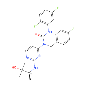 C[C@H](Nc1nccc(N(Cc2ccc(F)cc2)C(=O)Nc2cc(F)ccc2F)n1)C(C)(C)O